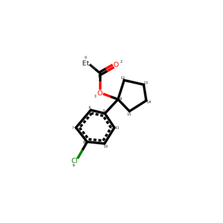 CCC(=O)OC1(c2ccc(Cl)cc2)CCCC1